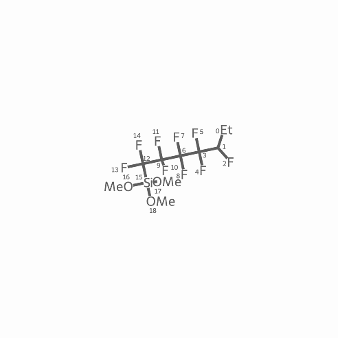 CCC(F)C(F)(F)C(F)(F)C(F)(F)C(F)(F)[Si](OC)(OC)OC